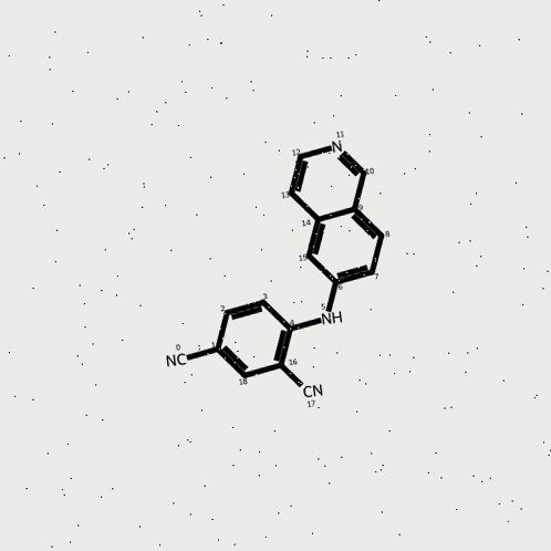 N#Cc1ccc(Nc2ccc3cnccc3c2)c(C#N)c1